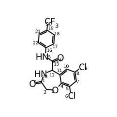 O=C1COc2c(Cl)cc(Cl)cc2C(C(=O)Nc2ccc(C(F)(F)F)cc2)N1